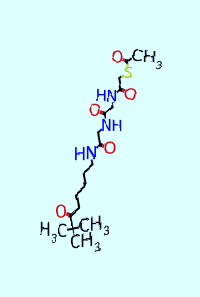 CC(=O)SCC(=O)NCC(=O)NCC(=O)NCCCCCC(=O)C(C)(C)C